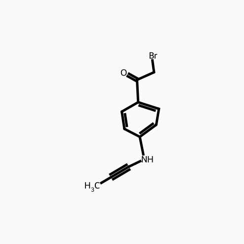 CC#CNc1ccc(C(=O)CBr)cc1